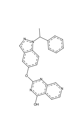 CC(c1ccccc1)n1ncc2cc(Oc3nc(O)c4ccncc4n3)ccc21